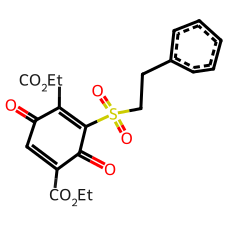 CCOC(=O)C1=CC(=O)C(C(=O)OCC)=C(S(=O)(=O)CCc2ccccc2)C1=O